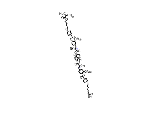 C=C(C)C(=O)OCCCCOc1ccc(C(=O)Oc2ccc(/C=C(\C#N)C(=O)O[C@@H]3CO[C@H]4[C@@H]3OC[C@@H]4OC(=O)/C(C#N)=C/c3ccc(OC(=O)c4ccc(OCCCCOC(=O)C(C)C)cc4)c(OC)c3)cc2OC)cc1